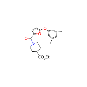 CCOC(=O)C1CCN(C(=O)c2ccc(Oc3cc(C)cc(C)c3)o2)CC1